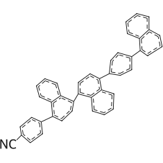 N#Cc1ccc(-c2ccc(-c3ccc(-c4ccc(-c5cccc6ccccc56)cc4)c4ccccc34)c3ccccc23)cc1